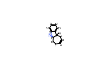 CC12CC#CCCC1=Nc1ccccc12